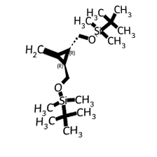 C=C1[C@H](CO[Si](C)(C)C(C)(C)C)[C@H]1CO[Si](C)(C)C(C)(C)C